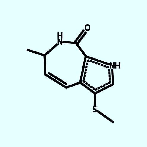 CSc1c[nH]c2c1C=CC(C)NC2=O